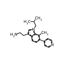 Cc1c(-c2ccncc2)ccc2c(CCN)cn(CC(C)C)c12